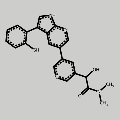 CN(C)C(=O)C(O)c1cncc(-c2cnc3[nH]cc(-c4ccccc4S)c3c2)c1